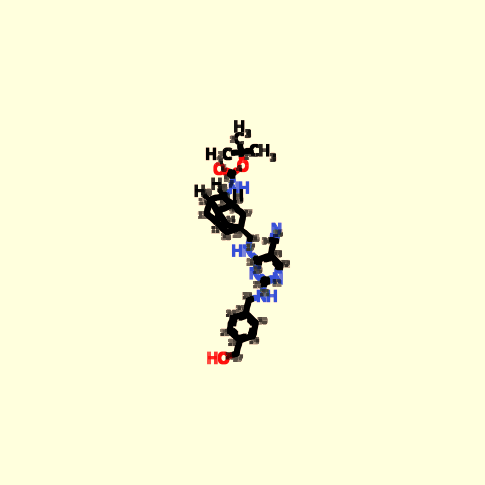 CC(C)(C)OC(=O)N[C@@H]1[C@@H]2CC3C[C@H]1C[C@@](CNc1nc(NCc4ccc(CO)cc4)ncc1C#N)(C3)C2